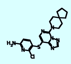 Nc1ccc(Sc2cnc(N3CCC4(CCCC4)CC3)n3ncnc23)c(Cl)n1